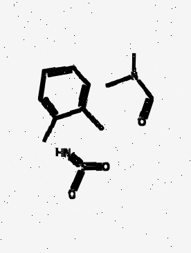 CN(C)C=O.Cc1ccccc1C.N=S(=O)=O